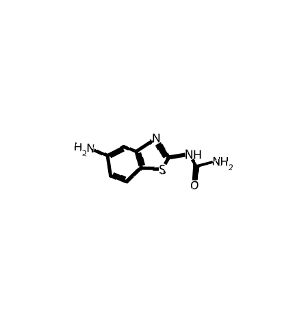 NC(=O)Nc1nc2cc(N)ccc2s1